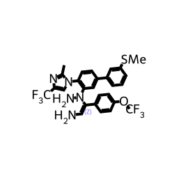 CSc1cccc(-c2ccc(-n3cc(C(F)(F)F)nc3C)c(N(N)/C(=C\N)c3ccc(OC(F)(F)F)cc3)c2)c1